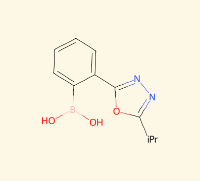 CC(C)c1nnc(-c2ccccc2B(O)O)o1